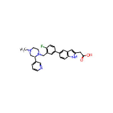 CN1CCN(Cc2cc(-c3ccc4[nH]c(CC(=O)O)cc4c3)ccc2F)C(c2cccnc2)C1